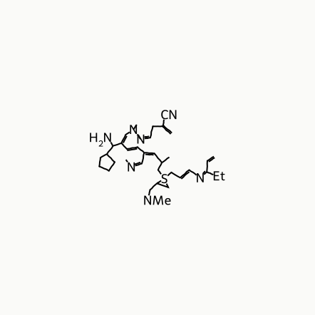 C=C/C(CC)=N\C=C\CS1(CC(C)/C=C(\C=N/C)/C=C/C(=C\N(C)/N=C\CC(=C)C#N)C(N)C2CCCC2)CC1CNC